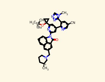 C[C@H]1CCCN(Cc2cc3c4c(cccc4c2)N(c2cc(-c4ncc(C#N)cc4-c4nncn4C)cc(C4(O[Si](C)(C)C(C)(C)C)CC4)n2)C3=O)C1